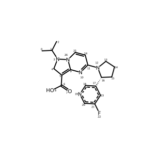 CC(C)N1CC(C(=O)O)=C2N=C(N3CCC[C@@H]3c3cncc(F)c3)C=CN21